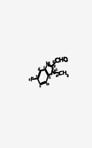 Cn1c(C=O)nc2cc(F)ccc21